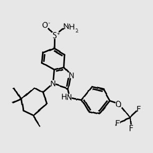 CC1CC(n2c(Nc3ccc(OC(F)(F)F)cc3)nc3cc([S+](N)[O-])ccc32)CC(C)(C)C1